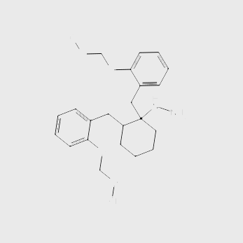 COCOc1ccccc1CC1CCCCC1(Cc1ccccc1OCOC)NN